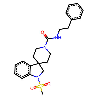 CS(=O)(=O)N1CC2(CCN(C(=O)NCCc3ccccc3)CC2)c2ccccc21